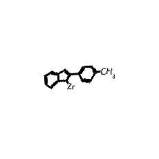 Cc1ccc(C2=Cc3ccccc3[CH]2[Zr])cc1